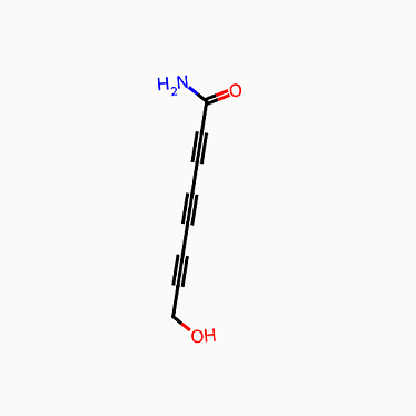 NC(=O)C#CC#CC#CCO